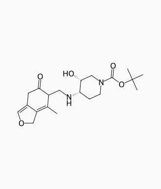 CC1=C2COC=C2CC(=O)C1CN[C@H]1CCN(C(=O)OC(C)(C)C)C[C@H]1O